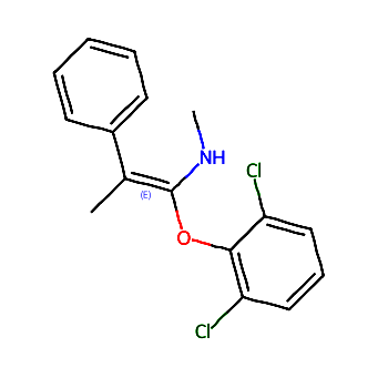 CN/C(Oc1c(Cl)cccc1Cl)=C(/C)c1ccccc1